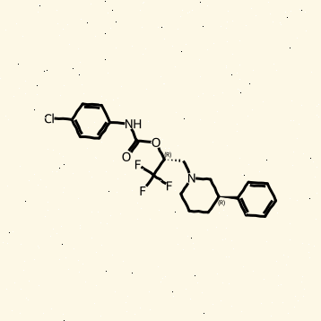 O=C(Nc1ccc(Cl)cc1)O[C@H](CN1CCC[C@H](c2ccccc2)C1)C(F)(F)F